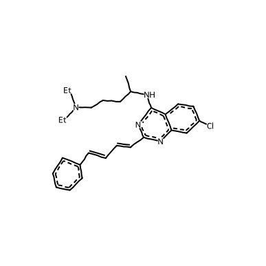 CCN(CC)CCCC(C)Nc1nc(C=CC=Cc2ccccc2)nc2cc(Cl)ccc12